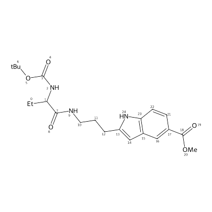 CCC(NC(=O)OC(C)(C)C)C(=O)NCCCc1cc2cc(C(=O)OC)ccc2[nH]1